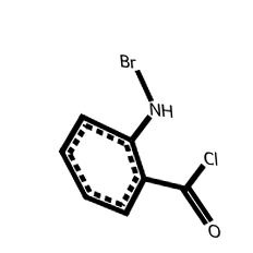 O=C(Cl)c1ccccc1NBr